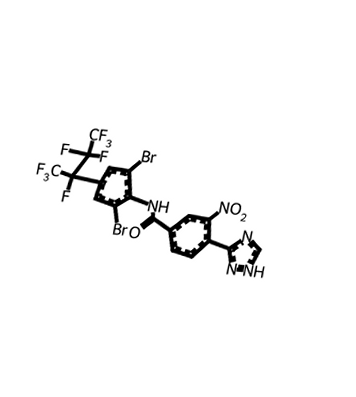 O=C(Nc1c(Br)cc(C(F)(C(F)(F)F)C(F)(F)C(F)(F)F)cc1Br)c1ccc(-c2nc[nH]n2)c([N+](=O)[O-])c1